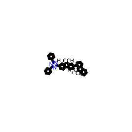 CC1(C)c2cc(-c3nc(-c4ccccc4)nc(-c4ccccc4)n3)ccc2-c2ccc(-c3cccc4c3C(C)(C)c3ccccc3-4)cc21